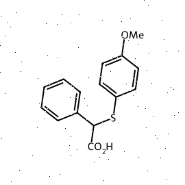 COc1ccc(SC(C(=O)O)c2ccccc2)cc1